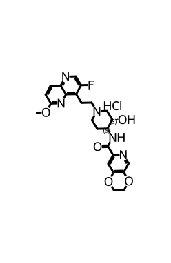 COc1ccc2ncc(F)c(CCN3CC[C@H](NC(=O)c4cc5c(cn4)OCCO5)[C@@H](O)C3)c2n1.Cl